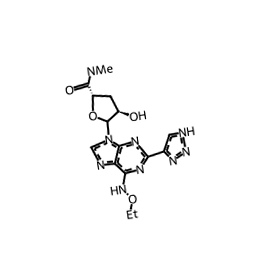 CCONc1nc(-c2c[nH]nn2)nc2c1ncn2C1O[C@H](C(=O)NC)C[C@H]1O